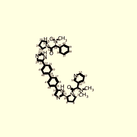 CN(C)C(C(=O)N1CCC[C@H]1c1ncc(-c2ccc(-c3ccc(-c4cnc([C@@H]5CCCN5C(=O)[C@@H](c5ccccc5)N(C)C)[nH]4)cc3)cc2)[nH]1)c1cccnc1